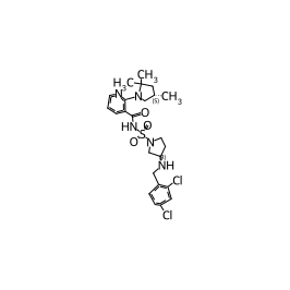 C[C@@H]1CN(c2ncccc2C(=O)NS(=O)(=O)N2CC[C@@H](NCc3ccc(Cl)cc3Cl)C2)C(C)(C)C1